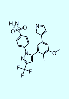 COc1cc(C2=CC=NC2)cc(-c2cc(C(F)(F)F)nn2-c2ccc(S(N)(=O)=O)cc2)c1C